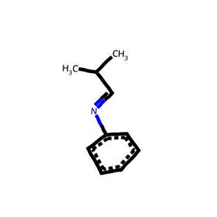 CC(C)C=Nc1ccccc1